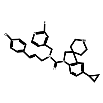 O=C(N(CC=Cc1ccc(Cl)cc1)Cc1ccnc(F)c1)N1CC2(CCNCC2)c2cc(C3CC3)ccc21